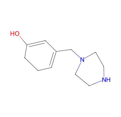 OC1=CC(CN2CCNCC2)=CCC1